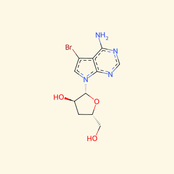 Nc1ncnc2c1c(Br)cn2[C@@H]1O[C@H](CO)C[C@H]1O